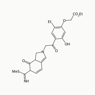 CCOC(=O)COc1cc(O)c(C(=O)CN2C=C3C=CC(C(=N)SC)C(=O)C3C2)cc1CC